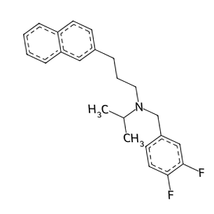 CC(C)N(CCCc1ccc2ccccc2c1)Cc1ccc(F)c(F)c1